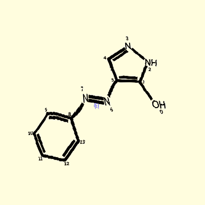 Oc1[nH]ncc1/N=N/c1ccccc1